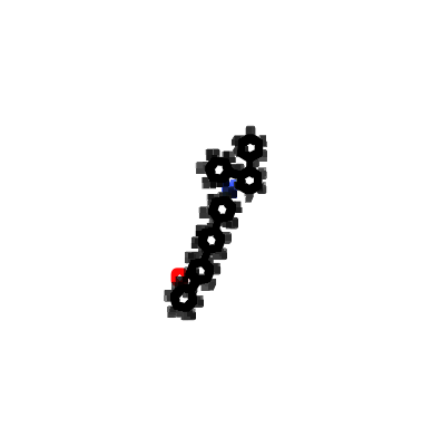 c1ccc(-c2cccc3c2c2ccccc2n3-c2ccc(-c3ccc(-c4ccc5c(c4)oc4ccccc45)cc3)cc2)cc1